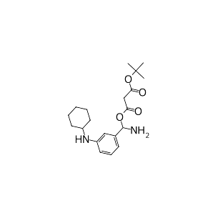 CC(C)(C)OC(=O)CC(=O)OC(N)c1cccc(NC2CCCCC2)c1